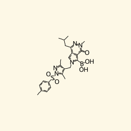 Cc1ccc(S(=O)(=O)n2nc(C)c(Cn3cc4c(CC(C)C)nn(C)c(=O)c4c3B(O)O)c2C)cc1